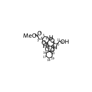 COC(=O)C[C@H]1CC[C@@H]2O[C@@H](CCO)[C@H]3OC4(CCCCC4)OC3[C@H]2O1